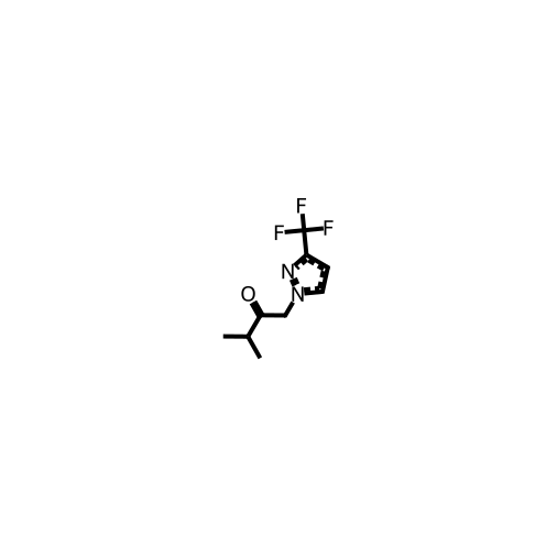 CC(C)C(=O)Cn1ccc(C(F)(F)F)n1